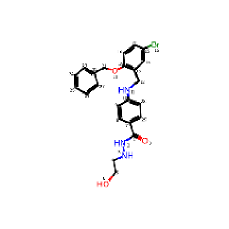 O=C(NNCCO)c1ccc(NCc2cc(Br)ccc2OCc2ccccc2)cc1